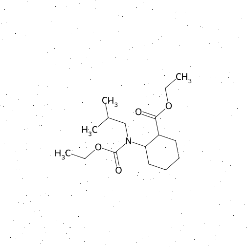 CCOC(=O)C1CCCCC1N(CC(C)C)C(=O)OCC